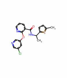 Cc1ccc(C(C)NC(=O)c2cccnc2Oc2cncc(Cl)c2)s1